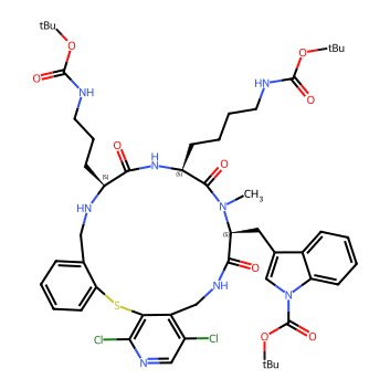 CN1C(=O)[C@H](CCCCNC(=O)OC(C)(C)C)NC(=O)[C@H](CCCNC(=O)OC(C)(C)C)NCc2ccccc2Sc2c(Cl)ncc(Cl)c2CNC(=O)[C@@H]1Cc1cn(C(=O)OC(C)(C)C)c2ccccc12